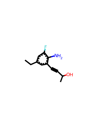 CCc1cc(F)c(N)c(C#CC(C)O)c1